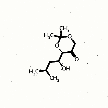 CC(C)C[C@H](O)[C@@H]1OC(C)(C)OCC1=O